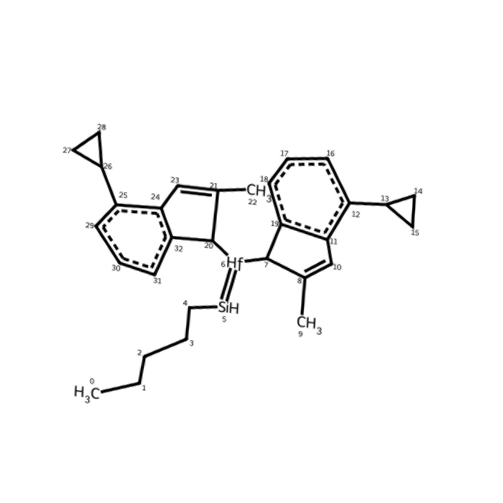 CCCCC[SiH]=[Hf]([CH]1C(C)=Cc2c(C3CC3)cccc21)[CH]1C(C)=Cc2c(C3CC3)cccc21